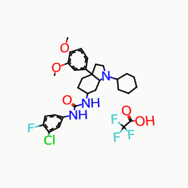 COc1ccc(C23CCC(NC(=O)Nc4ccc(F)c(Cl)c4)CC2N(C2CCCCC2)CC3)cc1OC.O=C(O)C(F)(F)F